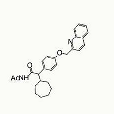 CC(=O)NC(=O)C(c1ccc(OCc2ccc3ccccc3n2)cc1)C1CCCCCC1